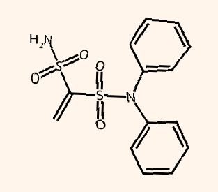 C=C(S(N)(=O)=O)S(=O)(=O)N(c1ccccc1)c1ccccc1